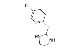 Clc1ccc(CC2NCCN2)cc1